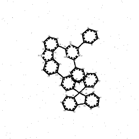 c1ccc(-c2nc(-c3ccccc3)nc(-c3cccc4sc5ccc(-c6ccc7c(c6)-c6ccccc6C76c7ccccc7-c7ccccc76)cc5c34)n2)cc1